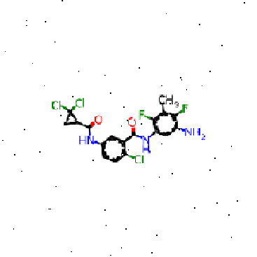 Cc1c(F)c(N)cc(NC(=O)c2cc(NC(=O)C3CC3(Cl)Cl)ccc2Cl)c1F